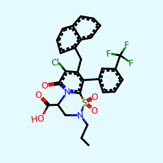 CCCN1CC(C(=O)O)n2c(c(-c3cccc(C(F)(F)F)c3)c(Cc3cccc4ccccc34)c(Cl)c2=O)S1(=O)=O